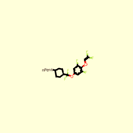 CCCCCC1CCC(C(F)(F)Oc2cc(F)c(OC=C(F)F)c(F)c2)CC1